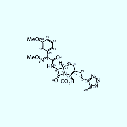 CON=C(C(=O)NC1C(=O)N2C(C(=O)O)=C(CSc3nnnn3C)CS[C@@H]12)c1cccc(OC)c1